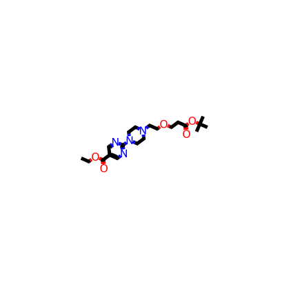 CCOC(=O)c1cnc(N2CCN(CCOCCC(=O)OC(C)(C)C)CC2)nc1